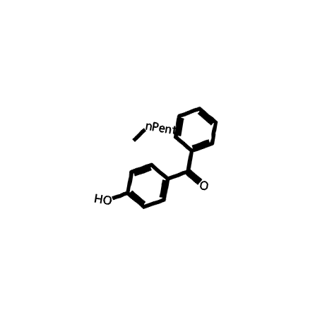 CCCCCC.O=C(c1ccccc1)c1ccc(O)cc1